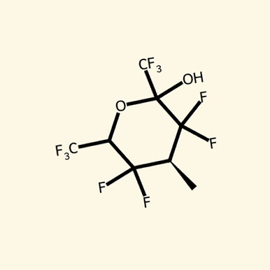 C[C@H]1C(F)(F)C(C(F)(F)F)OC(O)(C(F)(F)F)C1(F)F